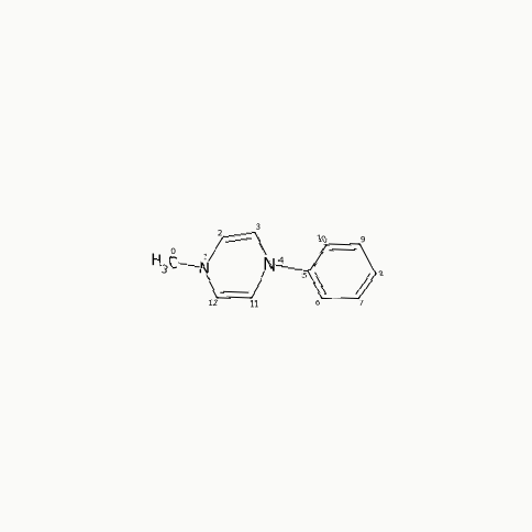 CN1C=CN(c2ccccc2)C=C1